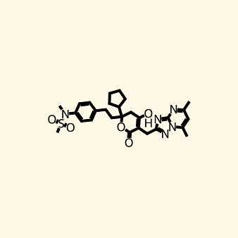 Cc1cc(C)n2nc(CC3=C(O)CC(CCc4ccc(N(C)S(C)(=O)=O)cc4)(C4CCCC4)OC3=O)nc2n1